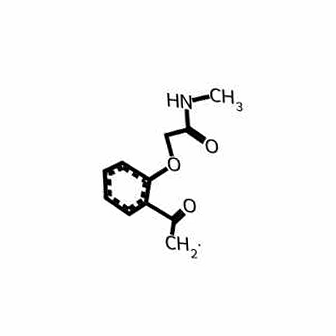 [CH2]C(=O)c1ccccc1OCC(=O)NC